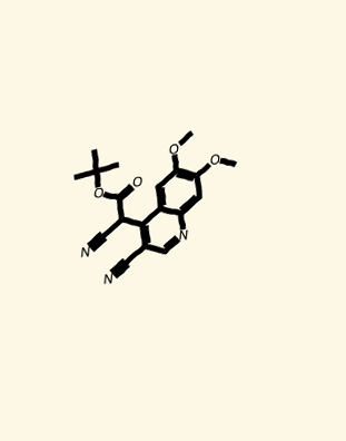 COc1cc2ncc(C#N)c(C(C#N)C(=O)OC(C)(C)C)c2cc1OC